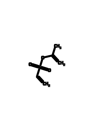 C=CS(=O)(=O)OC(=C)C